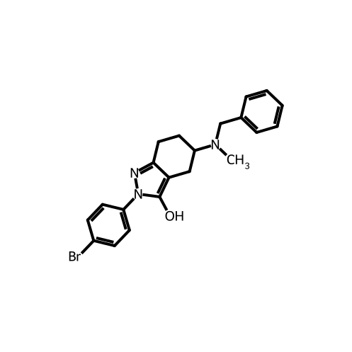 CN(Cc1ccccc1)C1CCc2nn(-c3ccc(Br)cc3)c(O)c2C1